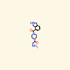 NCC(=O)N1CCN(C(=O)c2cccc3c2CNC3)CC1